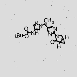 C[C@@H](c1cnc(N2C[C@H]3C[C@H]3C2=O)nc1)n1cc(NC(=O)OC(C)(C)C)cn1